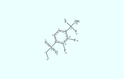 CCS(=O)(=O)c1ccc(C(O)(F)F)c(F)c1F